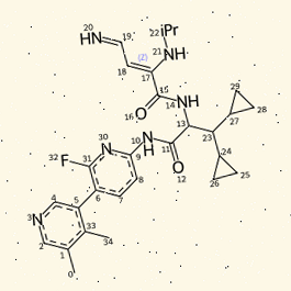 Cc1cncc(-c2ccc(NC(=O)C(NC(=O)/C(=C/C=N)NC(C)C)C(C3CC3)C3CC3)nc2F)c1C